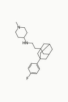 CN1CCC(NCCC23CC4CC(C2)CC(c2ccc(F)cc2)(C4)C3)CC1